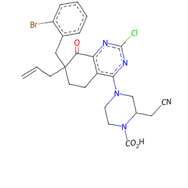 C=CCC1(Cc2ccccc2Br)CCc2c(nc(Cl)nc2N2CCN(C(=O)O)C(CC#N)C2)C1=O